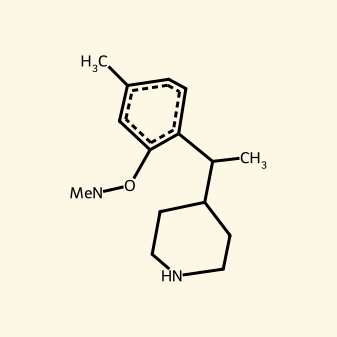 CNOc1cc(C)ccc1C(C)C1CCNCC1